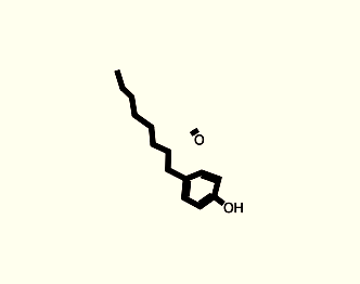 C=O.CCCCCCCCc1ccc(O)cc1